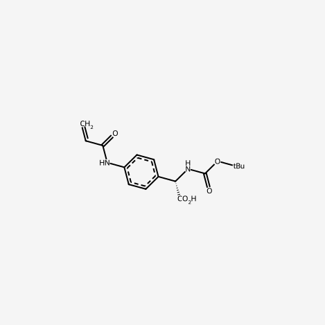 C=CC(=O)Nc1ccc([C@H](NC(=O)OC(C)(C)C)C(=O)O)cc1